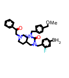 Bc1ccc(CN(CC2CCN(CC(=O)c3ccccc3)CC2)C(=O)NCc2ccc(COC)cc2)c(F)c1